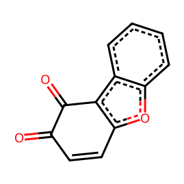 O=C1C=Cc2oc3ccccc3c2C1=O